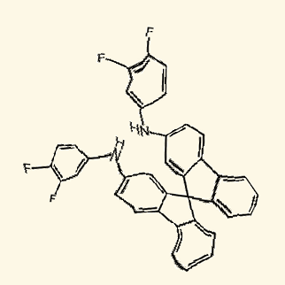 Fc1ccc(Nc2ccc3c(c2)C2(c4ccccc4-3)c3ccccc3-c3ccc(Nc4ccc(F)c(F)c4)cc32)cc1F